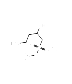 CC(CCN)CS(=O)(=O)ON.[NaH]